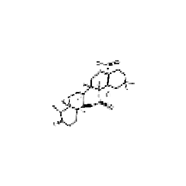 C[C@@H]1C(=O)CC[C@]2(C)C3=CC(=O)[C@@H]4[C@@H]5CC(C)(C)CC[C@]5(C(=O)Cl)CC[C@@]4(C)[C@]3(C)CC[C@@H]12